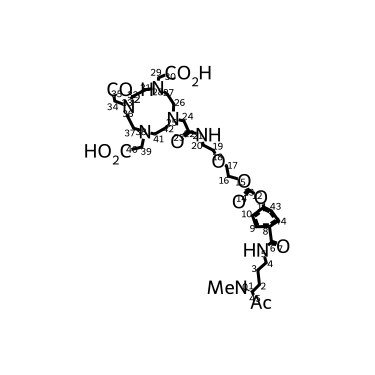 CN[C@H](CCCNC(=O)c1ccc(OC(=O)OCCOCCNC(=O)CN2CCN(CC(=O)O)CCN(CC(=O)O)CCN(CC(=O)O)CC2)cc1)C(C)=O